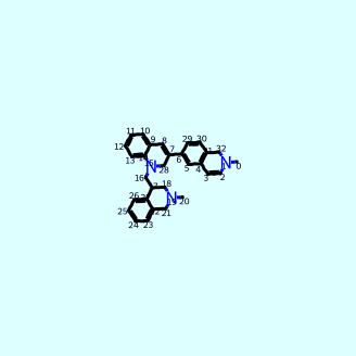 CN1C=Cc2cc(C3=Cc4ccccc4N(CC4CN(C)Cc5ccccc54)C3)ccc2C1